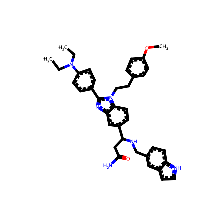 [CH2][CH]N([CH][CH2])c1ccc(-c2nc3cc(C(CC(N)=O)NCc4ccc5[nH]ccc5c4)ccc3n2CCc2ccc(OC)cc2)cc1